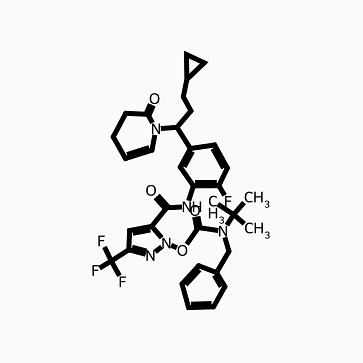 CC(C)(C)N(Cc1ccccc1)C(=O)On1nc(C(F)(F)F)cc1C(=O)Nc1cc(C(CCC2CC2)N2C=CCCC2=O)ccc1F